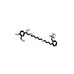 NS(=O)(=O)Cc1ccccc1CCCCOCCCCCCNC[C@H](O)c1ccc(O)c(CO)c1